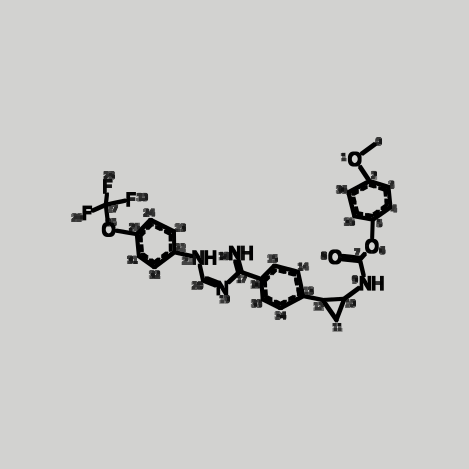 COc1ccc(OC(=O)NC2CC2c2ccc(C(=N)/N=C\Nc3ccc(OC(F)(F)F)cc3)cc2)cc1